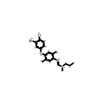 CCCN(C)C=Nc1cc(C)c(Oc2ccc(Cl)c(Br)c2)cc1C